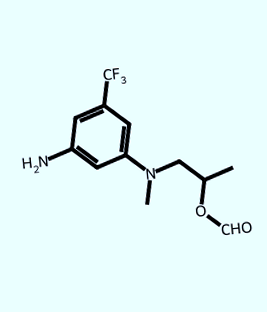 CC(CN(C)c1cc(N)cc(C(F)(F)F)c1)OC=O